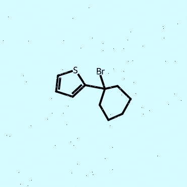 BrC1(c2cccs2)CCCCC1